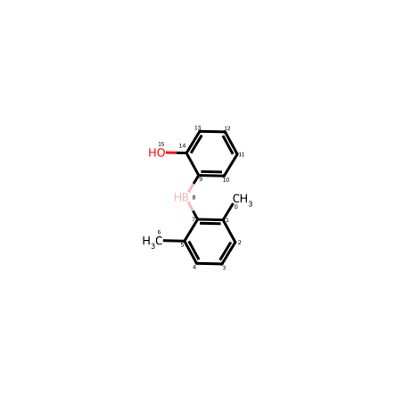 Cc1cccc(C)c1Bc1ccccc1O